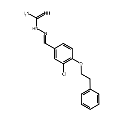 N=C(N)NN=Cc1ccc(OCCc2ccccc2)c(Cl)c1